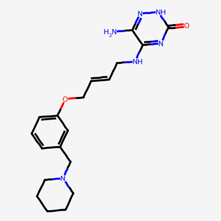 Nc1n[nH]c(=O)nc1NCC=CCOc1cccc(CN2CCCCC2)c1